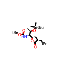 CC(C)C[C@@H]1C[C@@H]([C@H](NC(=O)OC(C)(C)C)[C@@H](C)O[Si](C)(C)C(C)(C)C)OC1=O